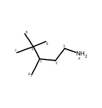 [CH2]C(CCN)C(C)(C)C